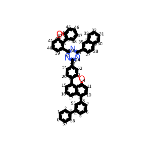 c1ccc(-c2cccc(-c3ccc4c5c(cccc35)-c3ccc(-c5nc(-c6ccc7ccccc7c6)nc(-c6cccc7oc8ccccc8c67)n5)cc3O4)c2)cc1